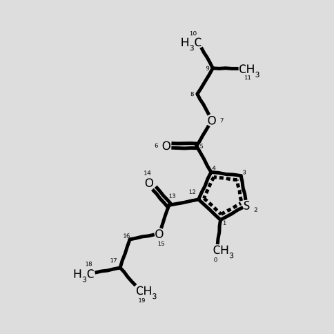 Cc1scc(C(=O)OCC(C)C)c1C(=O)OCC(C)C